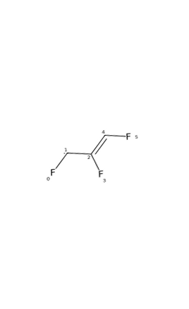 F[CH]/C(F)=C/F